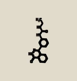 CCNC(=O)Nc1cccc(-c2n[nH]c(=O)c3ccccc23)c1